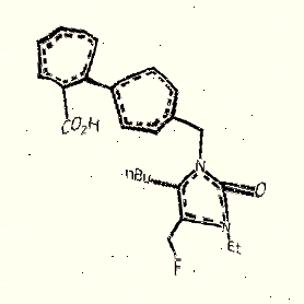 CCCCc1c(CF)n(CC)c(=O)n1Cc1ccc(-c2ccccc2C(=O)O)cc1